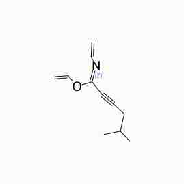 C=C/N=C(/C#CCC(C)C)OC=C